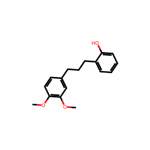 COc1ccc(CCCc2ccccc2O)cc1OC